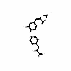 Nc1cc(/C=C2/SC(=O)NC2=O)ccc1Oc1ccc(CC(N)C(=O)O)cc1